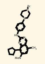 CNc1cc(C)c2cnc(Nc3ccc(N4CCN(C(C)=O)CC4)cc3)nc2c1C1CCCC1